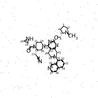 CN1CCC[C@H]1COc1nc2c(c(N3CCN(C(=O)[C@@H]4CN4)[C@@H](CC#N)C3)n1)CCN(c1cccc3ccncc13)C2